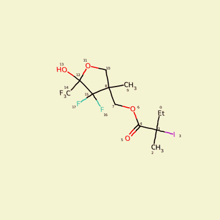 CCC(C)(I)C(=O)OCC1(C)COC(O)(C(F)(F)F)C1(F)F